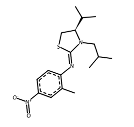 Cc1cc([N+](=O)[O-])ccc1N=C1SC[C@@H](C(C)C)N1CC(C)C